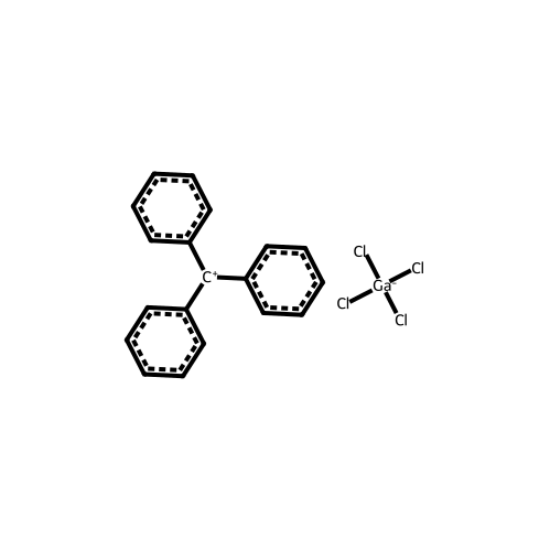 [Cl][Ga-]([Cl])([Cl])[Cl].c1ccc([C+](c2ccccc2)c2ccccc2)cc1